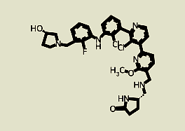 COc1nc(-c2ccnc(-c3cccc(Nc4cccc(CN5CC[C@@H](O)C5)c4F)c3Cl)c2Cl)ccc1CNC[C@@H]1CCC(=O)N1